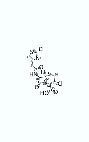 O=C(Cc1csc(Cl)n1)N[C@@H]1C(=O)N2C(C(=O)O)=C(Cl)CS[C@H]12